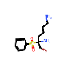 NCCCCC(N)(CBr)S(=O)(=O)c1ccccc1